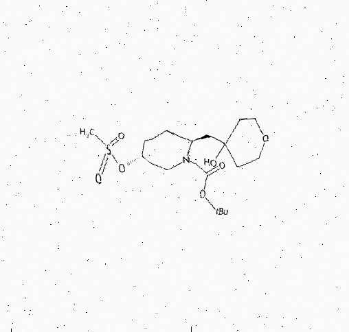 CC(C)(C)OC(=O)N1C[C@H](OS(C)(=O)=O)CC[C@H]1CC1(O)CCOCC1